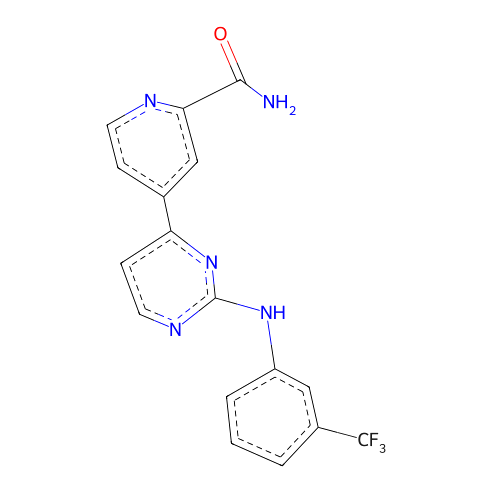 NC(=O)c1cc(-c2ccnc(Nc3cccc(C(F)(F)F)c3)n2)ccn1